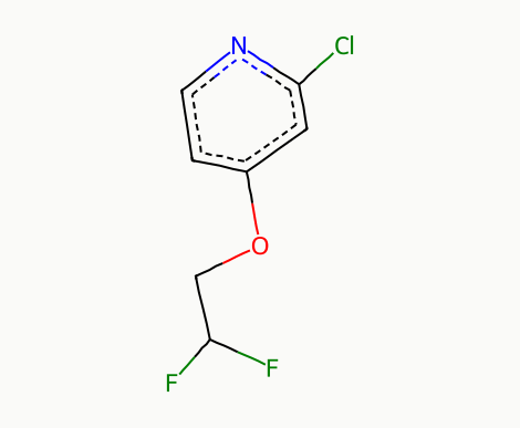 FC(F)COc1ccnc(Cl)c1